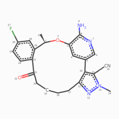 C[C@H]1Oc2cc(cnc2N)-c2c(nn(C)c2C#N)CCCCC(=O)c2ccc(F)cc21